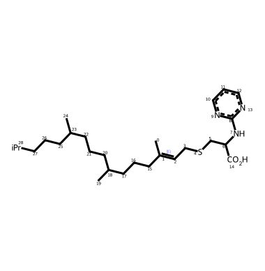 C/C(=C\CSCC(Nc1ncccn1)C(=O)O)CCCC(C)CCCC(C)CCCC(C)C